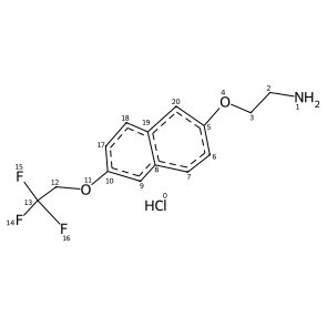 Cl.NCCOc1ccc2cc(OCC(F)(F)F)ccc2c1